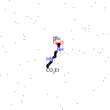 CCOC(=O)CCNCCNC(=O)OC(C)(C)C